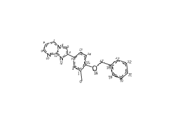 Cc1cc(-c2cn3cccnc3n2)ccc1OCc1ccccc1